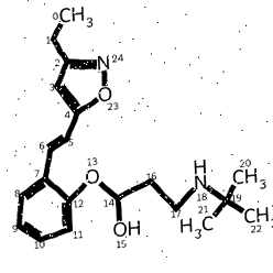 CCc1cc(C=Cc2ccccc2OC(O)CCNC(C)(C)C)on1